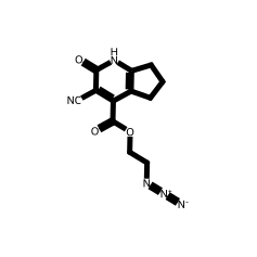 N#Cc1c(C(=O)OCCN=[N+]=[N-])c2c([nH]c1=O)CCC2